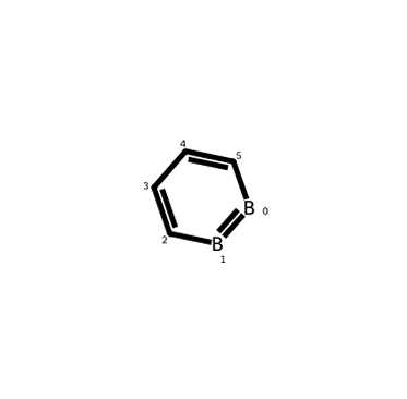 b1bcccc1